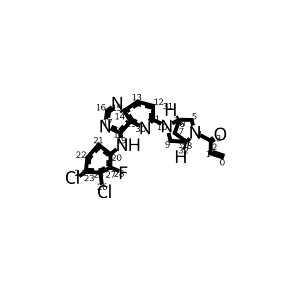 C=CC(=O)N1C[C@@H]2C[C@H]1CN2c1ccc2ncnc(Nc3ccc(Cl)c(Cl)c3F)c2n1